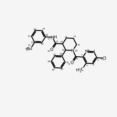 Cc1cc(Cl)cnc1C(=O)N1CCCC(C(=O)Nc2cccc(C(C)(C)C)c2)C1c1ccccc1